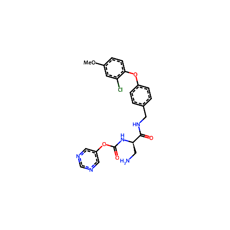 COc1ccc(Oc2ccc(CNC(=O)[C@@H](CN)NC(=O)Oc3cncnc3)cc2)c(Cl)c1